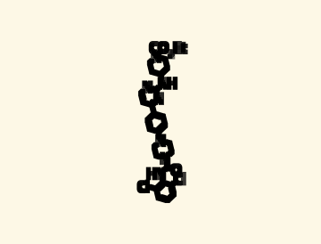 CCOC(=O)N1CCC(Nc2nccc(-c3ccc(N4CCN(C(=O)Nc5c(Cl)cccc5Cl)CC4)cc3)n2)CC1